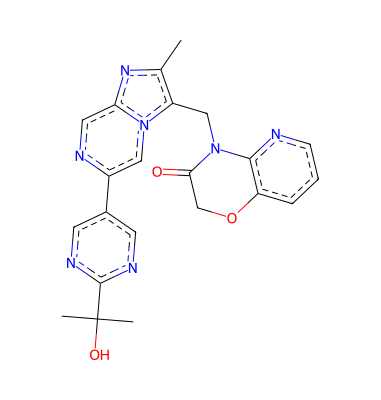 Cc1nc2cnc(-c3cnc(C(C)(C)O)nc3)cn2c1CN1C(=O)COc2cccnc21